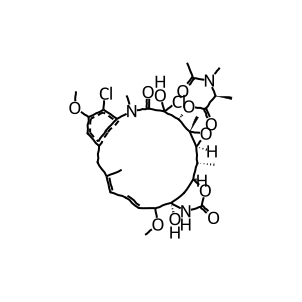 COc1cc2cc(c1Cl)N(C)C(=O)C(O)(Cl)[C@H](OC(=O)[C@H](C)N(C)C(C)=O)[C@]1(C)O[C@H]1[C@H](C)[C@@H]1C[C@@](O)(NC(=O)O1)C(OC)/C=C/C=C(\C)C2